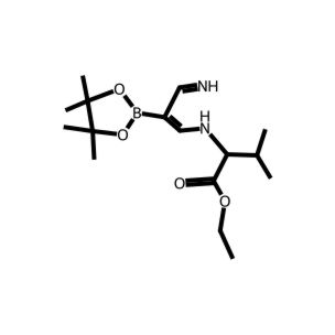 CCOC(=O)C(N/C=C(\C=N)B1OC(C)(C)C(C)(C)O1)C(C)C